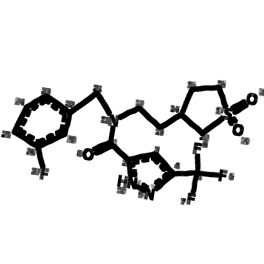 O=C(c1cc(C(F)(F)F)n[nH]1)N(CCC1CCS(=O)(=O)C1)Cc1cccc(F)c1